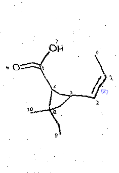 C/C=C\C1C(C(=O)O)C1(C)C